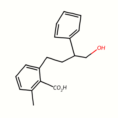 Cc1cccc(CCC(CO)c2ccccc2)c1C(=O)O